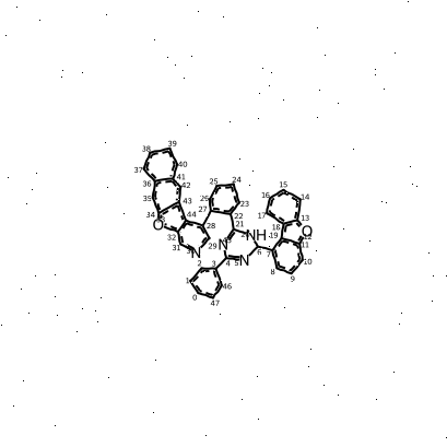 c1ccc(C2=NC(c3cccc4oc5ccccc5c34)NC(c3ccccc3-c3cncc4oc5cc6ccccc6cc5c34)=N2)cc1